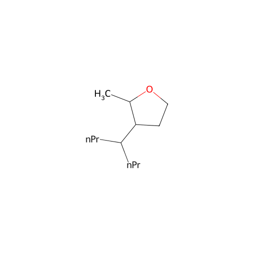 CCCC(CCC)C1CCOC1C